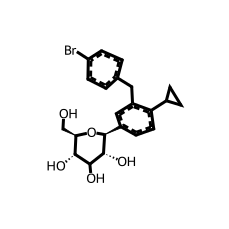 OC[C@H]1O[C@@H](c2ccc(C3CC3)c(Cc3ccc(Br)cc3)c2)[C@H](O)C(O)[C@@H]1O